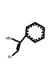 CCCCC(=CC(C)=O)c1ccccc1